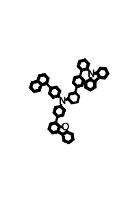 C1=C(c2ccc(-c3ccccc3-n3c4ccccc4c4ccccc43)cc2)CCC=C1N(c1ccc(-c2cccc3ccccc23)cc1)c1ccc(-c2cccc3c2oc2ccccc23)cc1